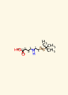 CC(C)(C)SSCCNCCCC(=O)O